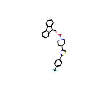 O=C(OCC1c2ccccc2-c2ccccc21)N1CCC(c2csc(-c3ccc(C(F)(F)F)cc3)n2)CC1